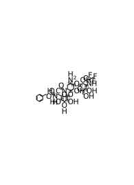 CC(=O)NC1C[C@@H](N)[C@@H](O[C@H]2OC(CO)[C@@H](O)[C@@H](NC(=O)C(F)(F)F)C2O)C(O)[C@@H]1O[C@H]1OC(CNC(=O)OCc2ccccc2)[C@@H](O)C(O)[C@@H]1O